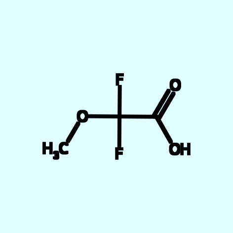 COC(F)(F)C(=O)O